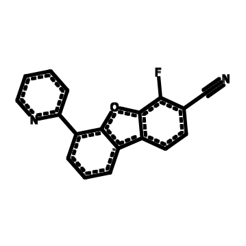 N#Cc1ccc2c(oc3c(-c4ccccn4)cccc32)c1F